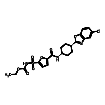 CCOC(=O)NS(=O)(=O)c1ccc(C(=O)N[C@H]2CC[C@@H](c3nc4cc(Cl)ccc4o3)CC2)o1